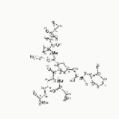 C=C[C@@H]1C[C@]1(NC(=O)[C@@H]1C[C@@H](OC(=O)N2Cc3cccc(F)c3C2)CN1C(=O)[C@H](CCC=CC(=O)OC)NC(=O)OC(C)(C)C)C(=O)NS(=O)(=O)C1CC1